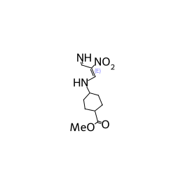 COC(=O)C1CCC(N/C=C(\C=N)[N+](=O)[O-])CC1